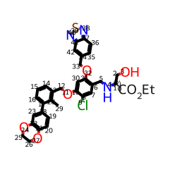 CCOC(=O)[C@@H](CO)NCc1cc(Cl)c(OCc2cccc(-c3ccc4c(c3)OCCO4)c2C)cc1OCc1ccc2nsnc2c1